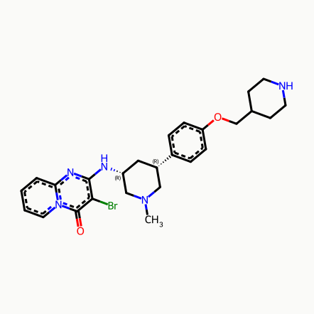 CN1C[C@H](Nc2nc3ccccn3c(=O)c2Br)C[C@H](c2ccc(OCC3CCNCC3)cc2)C1